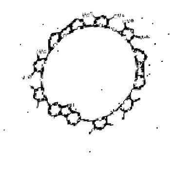 COc1cc(OC)c2cc1Cc1cc(c(C)cc1C)-c1ccc3c(c1)[nH]c1cc(ccc13)-c1cc(c(C)cc1C)Cc1cc(c(C)cc1C)-c1ccc3c(c1)[nH]c1cc(ccc13)-c1cc(c(OC)cc1OC)Cc1cc(c(OC)cc1OC)-c1ccc3c(c1)[nH]c1cc-2ccc13